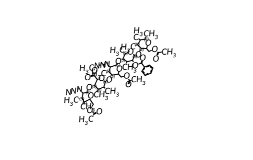 COC(=O)C1O[C@@H](O[C@@H]2C(COC(C)=O)O[C@H](O[C@H]3C(C)C(OC(=O)c4ccccc4)[C@H](O[C@@H]4C(COC(C)=O)O[C@H](C)C(C)[C@H]4C)O[C@H]3C)C(N=[N+]=[N-])[C@H]2C)C(C)[C@@H](C)[C@@H]1O[C@H]1OC(COC(C)=O)[C@@H](C)[C@H](C)C1N=[N+]=[N-]